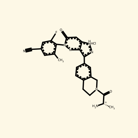 Cc1cc(C#N)cc(F)c1-n1nc2c(-c3ccc4c(c3)CN(C(=O)[C@H](C)N)CC4)n[nH]c2cc1=O.Cl